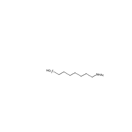 CC(=O)NCCCCCCCC(=O)O